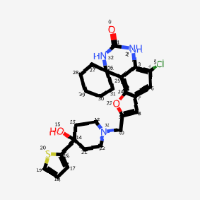 O=C1Nc2c(Cl)cc3cc(CN4CCC(O)(c5cccs5)CC4)oc3c2C2(CCCCC2)N1